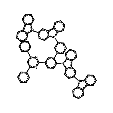 c1ccc(-c2cc(-c3ccccc3)nc(-c3ccc(-n4c5ccccc5c5cc(-n6c7ccccc7c7ccccc76)ccc54)c(-c4cccc(-n5c6ccccc6c6cc(-n7c8ccccc8c8ccccc87)ccc65)c4)c3)n2)cc1